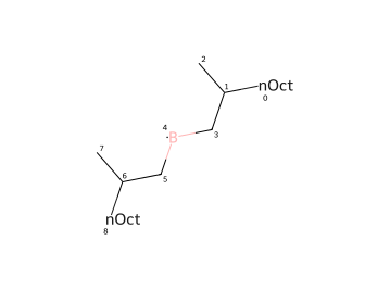 CCCCCCCCC(C)C[B]CC(C)CCCCCCCC